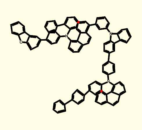 c1ccc(-c2ccc(-c3ccc(N(c4ccc(-c5ccc6c(c5)c5ccccc5n6-c5cccc(-c6cccc7c6ccc6cccc(N(c8ccc(-c9ccc%10oc%11ccccc%11c%10c9)cc8)c8ccccc8-c8ccccc8)c67)c5)cc4)c4cccc5ccc6ccccc6c45)cc3)cc2)cc1